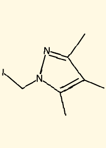 Cc1nn(CI)c(C)c1C